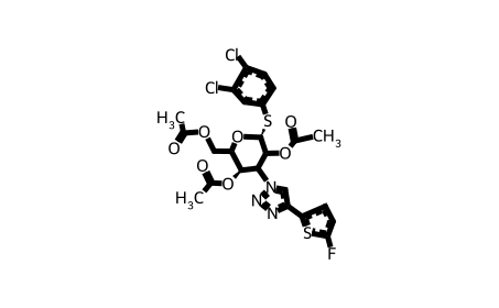 CC(=O)OCC1O[C@H](Sc2ccc(Cl)c(Cl)c2)C(OC(C)=O)C(n2cc(-c3ccc(F)s3)nn2)[C@H]1OC(C)=O